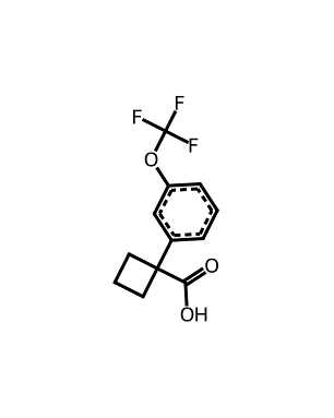 O=C(O)C1(c2cccc(OC(F)(F)F)c2)CCC1